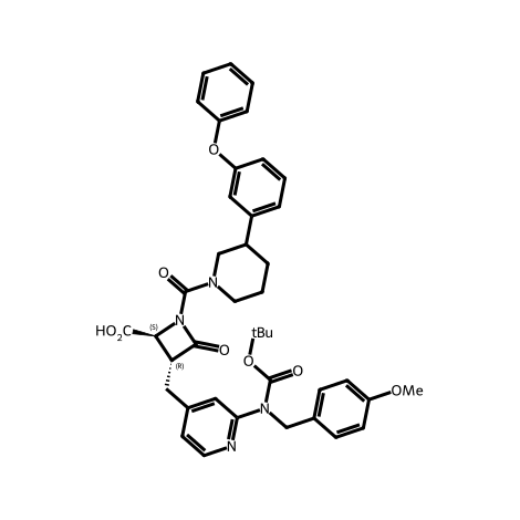 COc1ccc(CN(C(=O)OC(C)(C)C)c2cc(C[C@H]3C(=O)N(C(=O)N4CCCC(c5cccc(Oc6ccccc6)c5)C4)[C@@H]3C(=O)O)ccn2)cc1